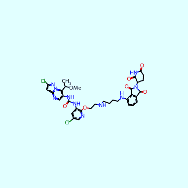 COC(C)c1c(NC(=O)Nc2cc(Cl)cnc2OCCNCCCCNc2cccc3c2C(=O)N(C2CCC(=O)NC2=O)C3=O)cnc2cc(Cl)nn12